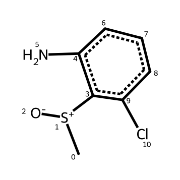 C[S+]([O-])c1c(N)cccc1Cl